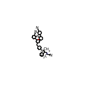 C/C(C#N)=C\c1c(C)n(C2=CCC(Cc3cccc(-c4cccc(C#N)c4-n4c5c(c6c4C=C(C#N)CC6)CCC=C5)c3)C=C2)c2ccccc12